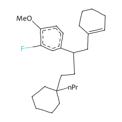 CCCC1(CCC(CC2=CCCCC2)c2ccc(OC)c(F)c2)CCCCC1